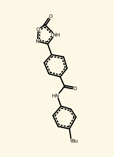 CC(C)(C)c1ccc(NC(=O)c2ccc(-c3noc(=O)[nH]3)cc2)cc1